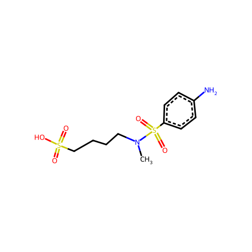 CN(CCCCS(=O)(=O)O)S(=O)(=O)c1ccc(N)cc1